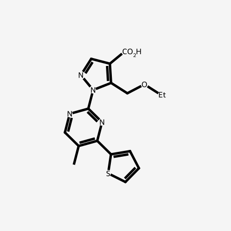 CCOCc1c(C(=O)O)cnn1-c1ncc(C)c(-c2cccs2)n1